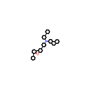 c1ccc(-c2cccc(N(c3ccc(-c4ccc5oc6c(-c7ccccc7)cccc6c5c4)cc3)c3ccc4c(ccc5ccccc54)c3)c2)cc1